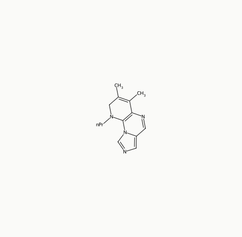 CCCN1CC(C)=C(C)c2ncc3cncn3c21